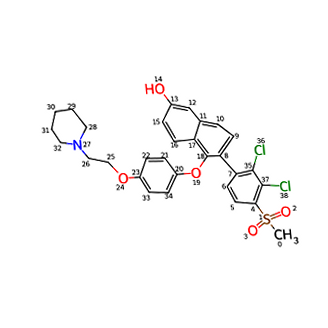 CS(=O)(=O)c1ccc(-c2ccc3cc(O)ccc3c2Oc2ccc(OCCN3CCCCC3)cc2)c(Cl)c1Cl